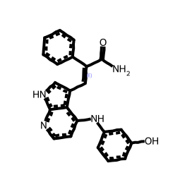 NC(=O)/C(=C/c1c[nH]c2nccc(Nc3cccc(O)c3)c12)c1ccccc1